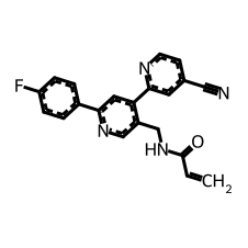 C=CC(=O)NCc1cnc(-c2ccc(F)cc2)cc1-c1cc(C#N)ccn1